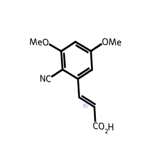 COc1cc(/C=C/C(=O)O)c(C#N)c(OC)c1